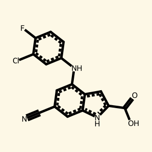 N#Cc1cc(Nc2ccc(F)c(Cl)c2)c2cc(C(=O)O)[nH]c2c1